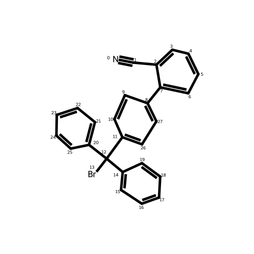 N#Cc1ccccc1-c1ccc(C(Br)(c2ccccc2)c2ccccc2)cc1